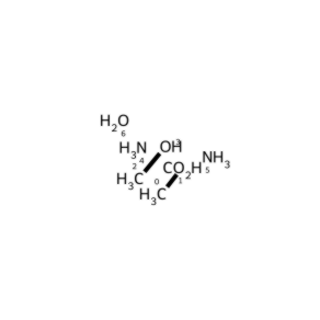 CC(=O)O.CO.N.N.O